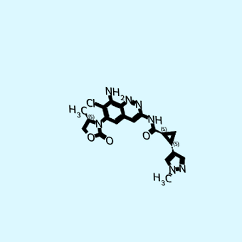 C[C@H]1COC(=O)N1c1cc2cc(NC(=O)[C@H]3C[C@@H]3c3cnn(C)c3)nnc2c(N)c1Cl